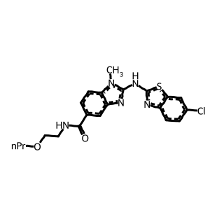 CCCOCCNC(=O)c1ccc2c(c1)nc(Nc1nc3ccc(Cl)cc3s1)n2C